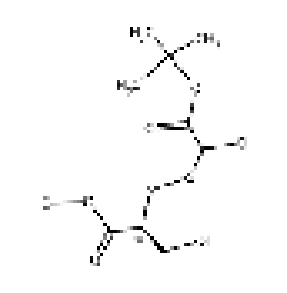 COC(=O)[C@H](CS)NSC(C)C(=O)OC(C)(C)C